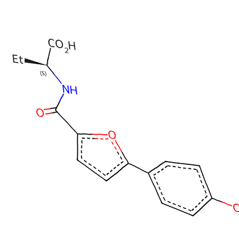 CCOc1ccc(-c2ccc(C(=O)N[C@@H](CC)C(=O)O)o2)cc1